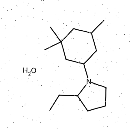 CCC1CCCN1C1CC(C)CC(C)(C)C1.O